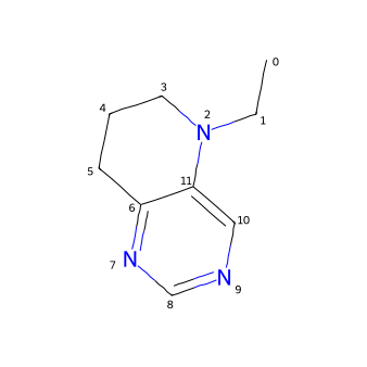 CCN1CCCc2ncncc21